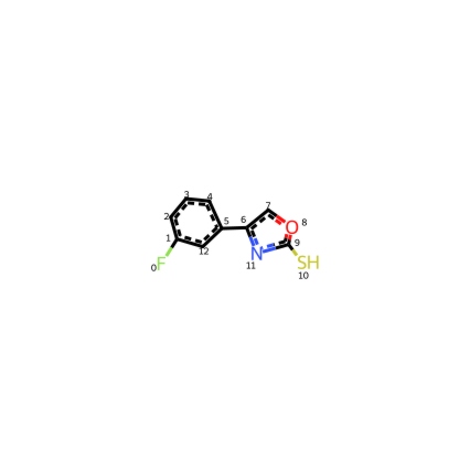 Fc1cccc(-c2coc(S)n2)c1